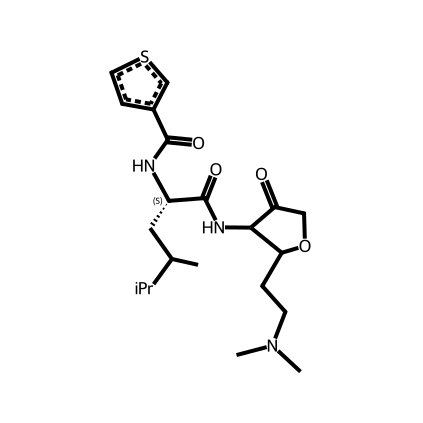 CC(C)C(C)C[C@H](NC(=O)c1ccsc1)C(=O)NC1C(=O)COC1CCN(C)C